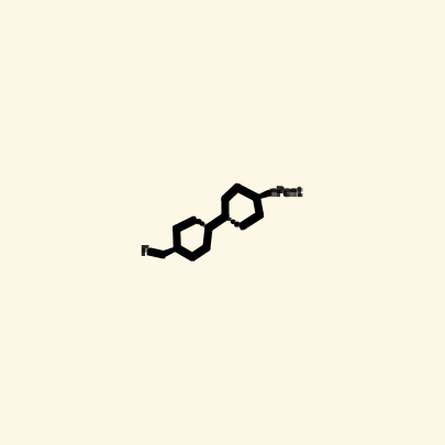 CCCCC[C@H]1CC[C@H]([C@H]2CC[C@H](CF)CC2)CC1